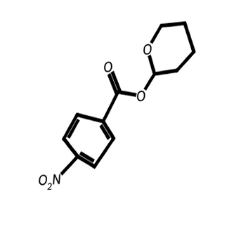 O=C(OC1CCCCO1)c1ccc([N+](=O)[O-])cc1